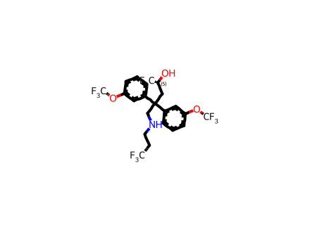 O[C@@H](CC(CNCCC(F)(F)F)(c1cccc(OC(F)(F)F)c1)c1cccc(OC(F)(F)F)c1)C(F)(F)F